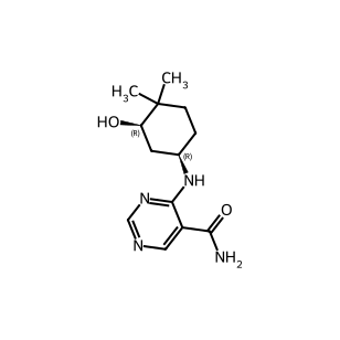 CC1(C)CC[C@@H](Nc2ncncc2C(N)=O)C[C@H]1O